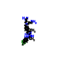 C=C(NC1=NC(=C)C(c2ccc(CN(CCCN)CCCN)cc2)=CN1)Nc1ccc(C(F)(F)F)cc1